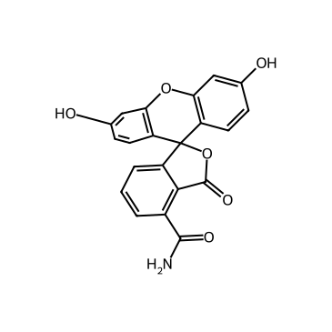 NC(=O)c1cccc2c1C(=O)OC21c2ccc(O)cc2Oc2cc(O)ccc21